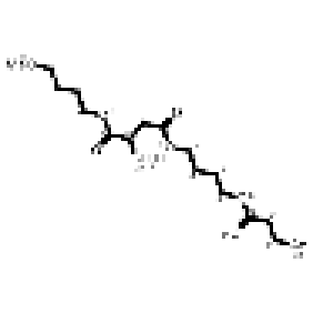 COCCCCOC(=O)C(CC(=O)OCCCCOC(=O)CCC(C)=O)S(=O)(=O)O